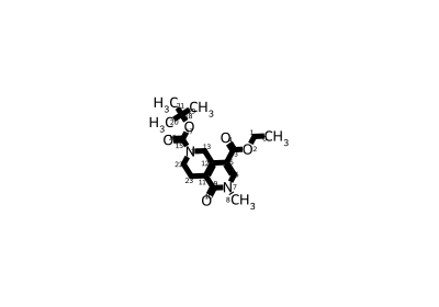 CCOC(=O)c1cn(C)c(=O)c2c1CN(C(=O)OC(C)(C)C)CC2